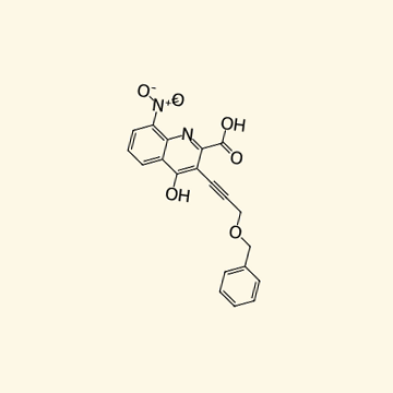 O=C(O)c1nc2c([N+](=O)[O-])cccc2c(O)c1C#CCOCc1ccccc1